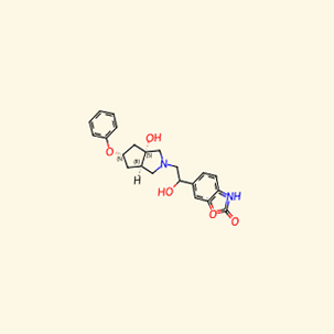 O=c1[nH]c2ccc(C(O)CN3C[C@H]4C[C@H](Oc5ccccc5)C[C@@]4(O)C3)cc2o1